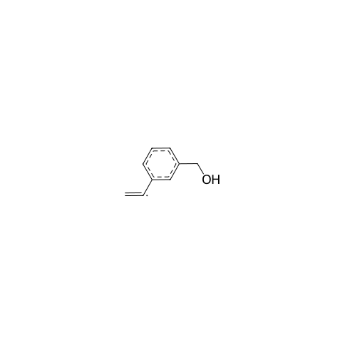 C=[C]c1cccc(CO)c1